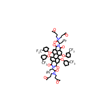 CC(C)CC(C(=O)N(CCC1CO1)CCC1CO1)N1C(=O)c2cc(Oc3cccc(C(F)(F)F)c3)c3c4c(Oc5cccc(C(F)(F)F)c5)cc5c6c(cc(Oc7cccc(C(F)(F)F)c7)c(c7c(Oc8cccc(C(F)(F)F)c8)cc(c2c37)C1=O)c64)C(=O)N(C(CC(C)C)C(=O)N(CCC1CO1)CCC1CO1)C5=O